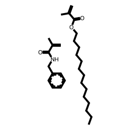 C=C(C)C(=O)NCc1ccccc1.C=C(C)C(=O)OCCCCCCCCCCCCCC